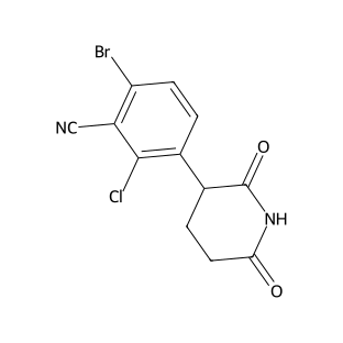 N#Cc1c(Br)ccc(C2CCC(=O)NC2=O)c1Cl